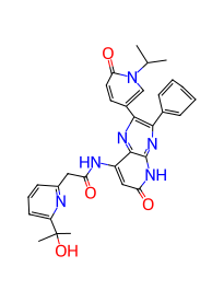 CC(C)n1cc(-c2nc3c(NC(=O)Cc4cccc(C(C)(C)O)n4)cc(=O)[nH]c3nc2-c2ccccc2)ccc1=O